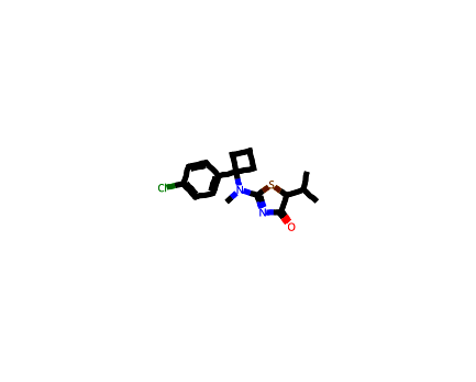 CC(C)C1SC(N(C)C2(c3ccc(Cl)cc3)CCC2)=NC1=O